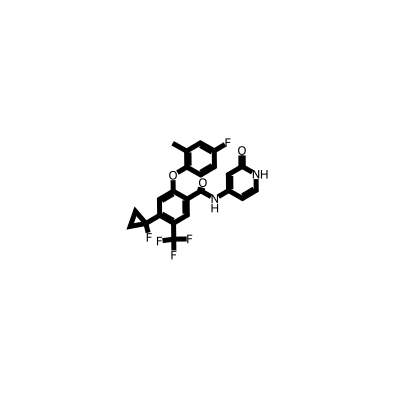 Cc1cc(F)ccc1Oc1cc(C2(F)CC2)c(C(F)(F)F)cc1C(=O)Nc1cc[nH]c(=O)c1